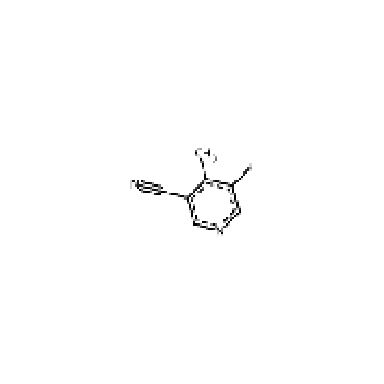 Cc1c(I)cncc1C#N